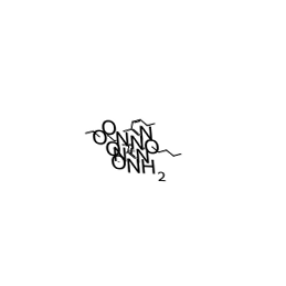 CCCCOc1nc(N)c([N+](=O)[O-])c(N(CC(=O)OCC)Cc2ccc(C)nc2)n1